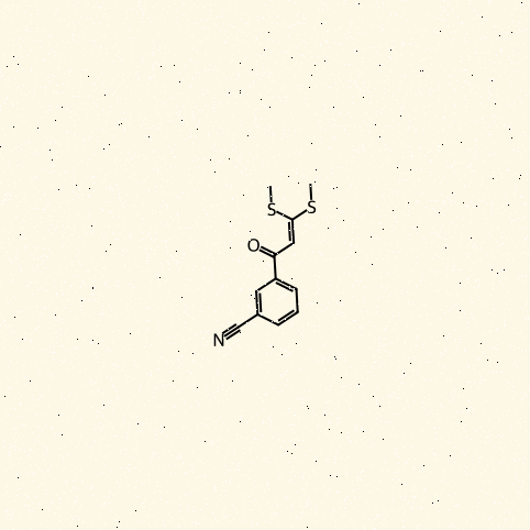 CSC(=CC(=O)c1cccc(C#N)c1)SC